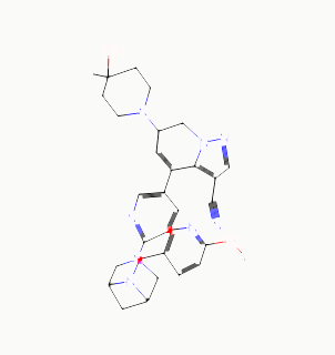 COc1ccc(CN2C3CC2CN(c2ccc(C4=CC(N5CCC(C)(O)CC5)Cn5ncc(C#N)c54)cn2)C3)cn1